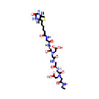 CCNC(=O)CN(CC(=O)O)C(=O)CNC(=O)CNC(=O)CN(CC(=O)O)C(=O)CNC(=O)CNC(=O)CCCCC1SC[C@H]2NC(=O)N[C@@H]12